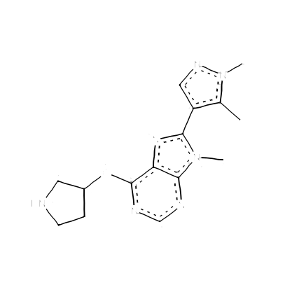 CCn1ncc(-c2nc3c(OC4CCNC4)ncnc3n2C)c1C